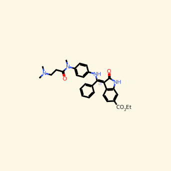 CCOC(=O)c1ccc2c(c1)NC(=O)/C2=C(\Nc1ccc(N(C)C(=O)CCN(C)C)cc1)c1ccccc1